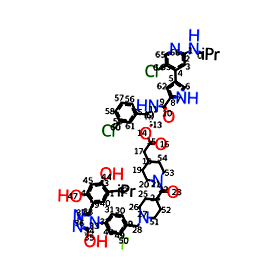 CC(C)Nc1cc(-c2c[nH]c(C(=O)N[C@H](COC(=O)CC3CCN(C(=O)C4CCN(Cc5ccc(-n6c(O)nnc6-c6cc(C(C)C)c(O)cc6O)cc5F)CC4)CC3)c3cccc(Cl)c3)c2)c(Cl)cn1